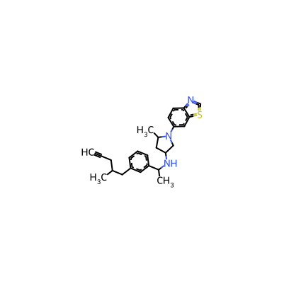 C#CCC(C)Cc1cccc(C(C)NC2CC(C)N(c3ccc4ncsc4c3)C2)c1